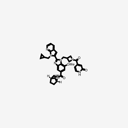 COc1cc(C(=O)N2C[C@H]3CC[C@@H]2[C@@H]3N)cc2nc(-c3cc4cccnc4n3CC3CC3)n(CC3CN(C(=O)c4cc[nH]c(=O)c4)C3)c12